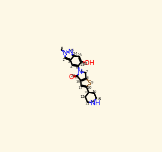 Cn1cc2cc(N3Cc4sc(C5CCNCC5)cc4C3=O)c(O)cc2n1